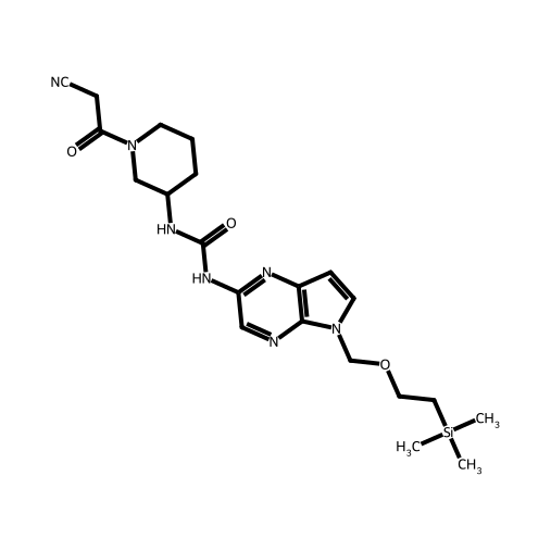 C[Si](C)(C)CCOCn1ccc2nc(NC(=O)NC3CCCN(C(=O)CC#N)C3)cnc21